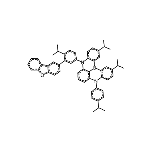 CC(C)c1ccc(N2c3ccc(C(C)C)cc3B3c4cc(C(C)C)ccc4N(c4ccc(C(C)C)c(-c5ccc6oc7ccccc7c6c5)c4)c4cccc2c43)cc1